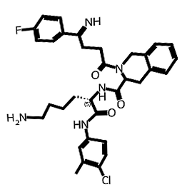 Cc1cc(NC(=O)[C@H](CCCCN)NC(=O)C2Cc3ccccc3CN2C(=O)CCC(=N)c2ccc(F)cc2)ccc1Cl